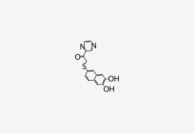 O=C(CSc1ccc2cc(O)c(O)cc2c1)c1cnccn1